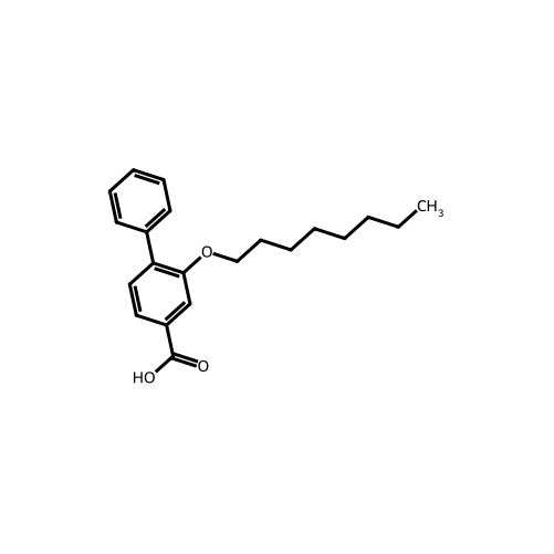 CCCCCCCCOc1cc(C(=O)O)ccc1-c1ccccc1